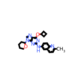 Cc1ccc2cc(Nc3nc(OC4CCC4)c4ncn(C5CCCCO5)c4n3)ccc2n1